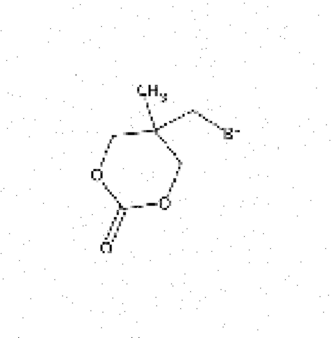 CC1(CBr)COC(=O)OC1